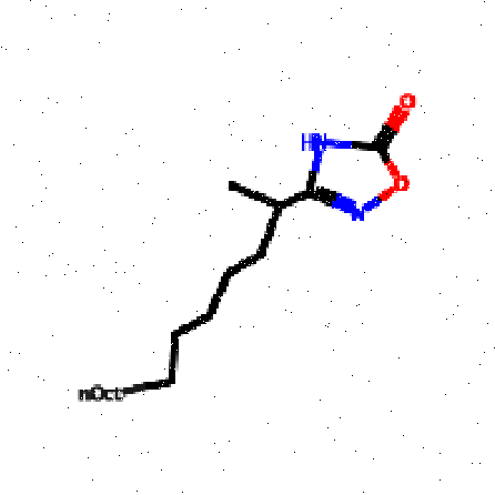 CCCCCCCCCCCCCC(C)c1noc(=O)[nH]1